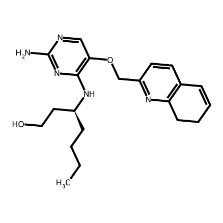 CCCC[C@@H](CCO)Nc1nc(N)ncc1OCc1ccc2c(n1)CCC=C2